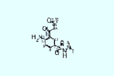 CN(C)NS(=O)(=O)c1ccc(N)c(C(=O)C[S+](C)[O-])c1